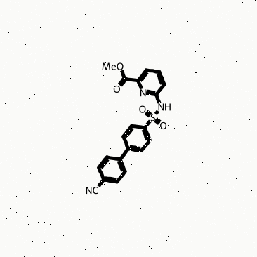 COC(=O)c1cccc(NS(=O)(=O)c2ccc(-c3ccc(C#N)cc3)cc2)n1